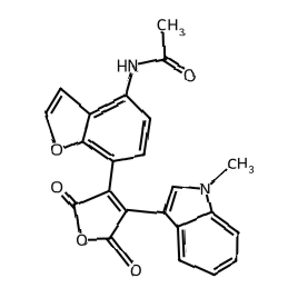 CC(=O)Nc1ccc(C2=C(c3cn(C)c4ccccc34)C(=O)OC2=O)c2occc12